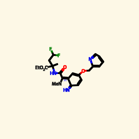 CCOC(=O)C(C)(CC(F)F)NC(=O)/C(NC)=C1\C=C(OCc2ccccn2)C=CC1=N